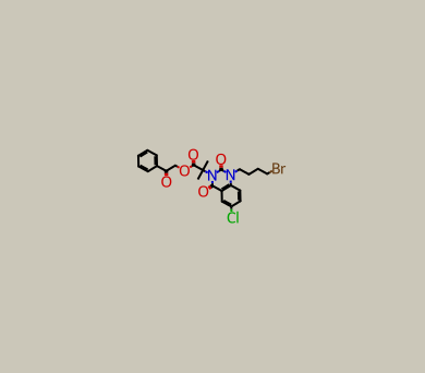 CC(C)(C(=O)OCC(=O)c1ccccc1)n1c(=O)c2cc(Cl)ccc2n(CCCCBr)c1=O